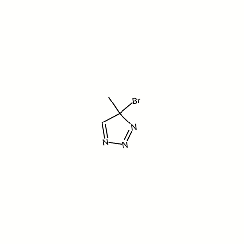 CC1(Br)C=NN=N1